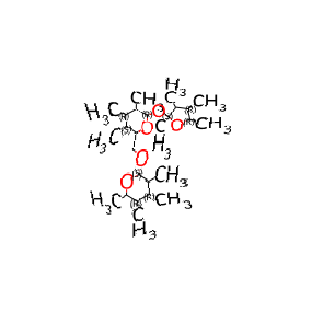 CC1[C@@H](O[C@]2(C)O[C@H](C)[C@H](C)C2C)OC(CO[C@H]2OC(C)[C@H](C)[C@@H](C)C2C)[C@@H](C)[C@H]1C